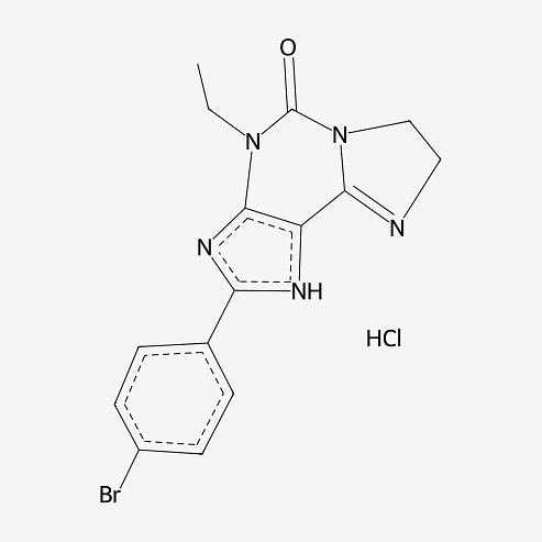 CCN1C(=O)N2CCN=C2c2[nH]c(-c3ccc(Br)cc3)nc21.Cl